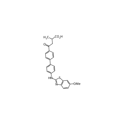 COc1ccc2nc(Nc3ccc(-c4ccc(C(=O)CC(C)C(=O)O)cc4)cc3)sc2c1